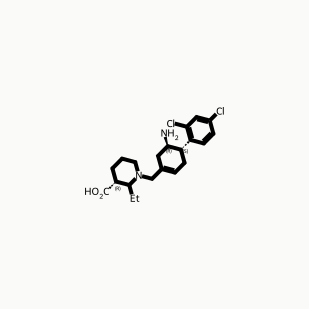 CCC1[C@H](C(=O)O)CCCN1CC1=CC[C@@H](c2ccc(Cl)cc2Cl)[C@H](N)C1